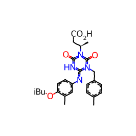 CC[C@@H](C)Oc1ccc(/N=c2\[nH]c(=O)n([C@H](C)CC(=O)O)c(=O)n2Cc2ccc(C)cc2)cc1C